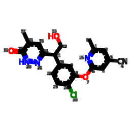 Cc1cc(C#N)cc(Oc2cc(C(CO)c3cc(C)c(=O)[nH]n3)ccc2Cl)n1